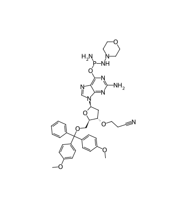 COc1ccc(C(OC[C@H]2O[C@@H](n3cnc4c(OP(N)NN5CCOCC5)nc(N)nc43)C[C@@H]2OCCC#N)(c2ccccc2)c2ccc(OC)cc2)cc1